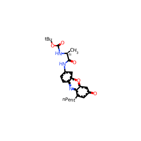 CCCCCc1cc(=O)cc2oc3cc(NC(=O)[C@H](C)NC(=O)OC(C)(C)C)ccc3nc1-2